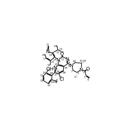 C=CC(=O)N1[C@H](C)CN(c2nc(=O)n(C(/C(C)=C\C)=C(/N=C)C(C)C)c3nc(-c4c(O)cccc4F)c(Cl)cc23)C[C@@H]1C